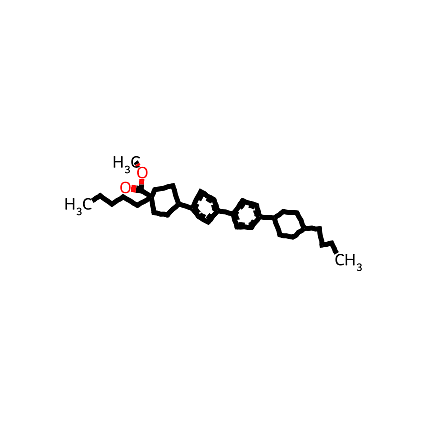 CCCCCC1(C(=O)OC)CCC(c2ccc(-c3ccc(C4CCC(CCCC)CC4)cc3)cc2)CC1